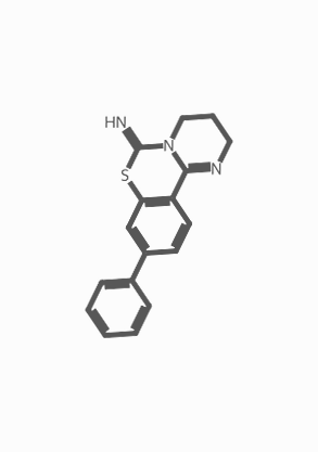 N=C1Sc2cc(-c3ccccc3)ccc2C2=NCCCN12